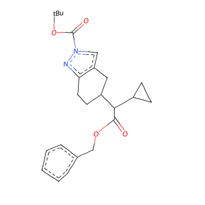 CC(C)(C)OC(=O)n1cc2c(n1)CCC(C(C(=O)OCc1ccccc1)C1CC1)C2